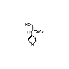 CS/C(=C/C#N)Nc1ccncc1